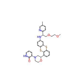 COCCOCC(Nc1ccc2c(c1)Sc1cccc(C3CN(c4ccc[nH]c4=O)CCO3)c1S2)c1ccc(C)cn1